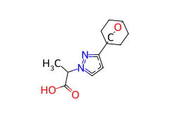 CC(C(=O)O)n1ccc(C23CCC(CC2)OC3)n1